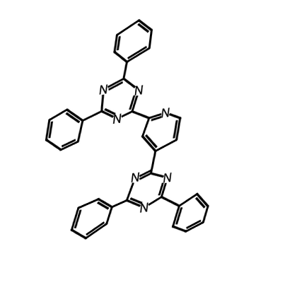 c1ccc(-c2nc(-c3ccccc3)nc(-c3ccnc(-c4nc(-c5ccccc5)nc(-c5ccccc5)n4)c3)n2)cc1